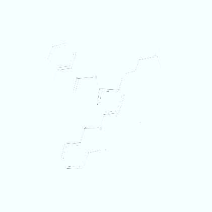 CCN(CC)CCOc1ccc(NC(=O)c2ccccc2O)cc1NC(=O)c1ccccc1O.Cl